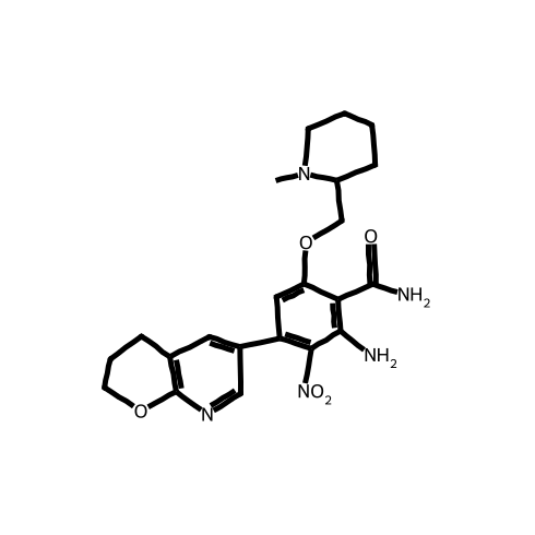 CN1CCCCC1COc1cc(-c2cnc3c(c2)CCCO3)c([N+](=O)[O-])c(N)c1C(N)=O